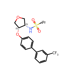 CC(C)S(=O)(=O)N[C@H]1COC[C@H]1Oc1ccc(-c2cccc(C(F)(F)F)c2)cc1